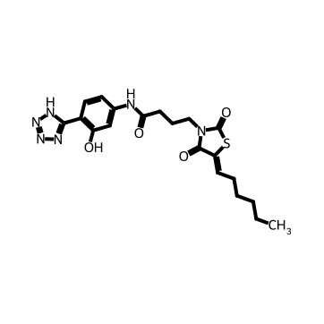 CCCCC/C=C1\SC(=O)N(CCCC(=O)Nc2ccc(-c3nnn[nH]3)c(O)c2)C1=O